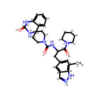 Cc1cc(CC(NC(=O)N2CCC3(CC2)NC(=O)Nc2ccccc23)C(=O)N2CCCCC2)cc2cn[nH]c12